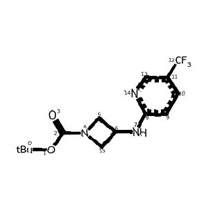 CC(C)(C)OC(=O)N1CC(Nc2ccc(C(F)(F)F)cn2)C1